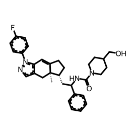 C[C@]12Cc3cnn(-c4ccc(F)cc4)c3C=C1CC[C@@H]2CC(NC(=O)N1CCC(CO)CC1)c1ccccc1